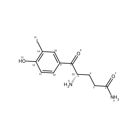 NC(=O)CC[C@H](N)C(=O)c1ccc(O)c(I)c1